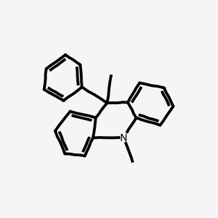 CN1c2ccccc2C(C)(c2ccccc2)c2ccccc21